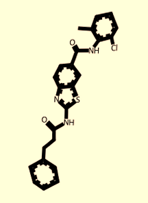 Cc1cccc(Cl)c1NC(=O)c1ccc2nc(NC(=O)CCc3ccccc3)sc2c1